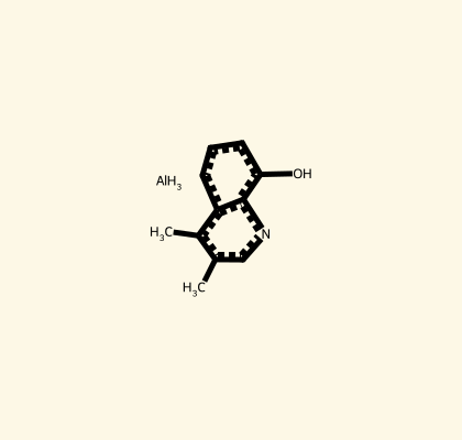 Cc1cnc2c(O)cccc2c1C.[AlH3]